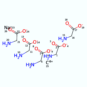 NCC(=O)[O-].NCC(=O)[O-].NCC(=O)[O-].NCC(=O)[O-].NCC(=O)[O-].[C+4].[Na+]